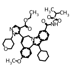 CCOC(=O)c1cnn(C2CCOCC2)c1C1=Cc2cc(OC)ccc2-c2c(C3CCCCC3)c3ccc(C(=O)NS(=O)(=O)C(C)C)cc3n2C1